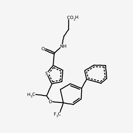 CC(OC1(C(F)(F)F)C=CC(c2ccccc2)=CC1)c1ccc(C(=O)NCCC(=O)O)s1